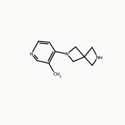 Cc1cnccc1N1CC2(CNC2)C1